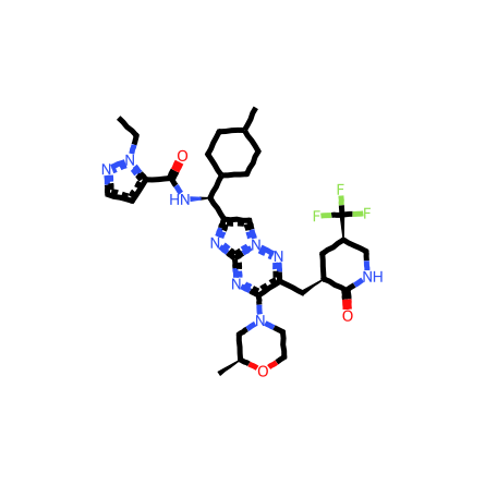 CCn1nccc1C(=O)N[C@H](c1cn2nc(C[C@H]3C[C@@H](C(F)(F)F)CNC3=O)c(N3CCO[C@@H](C)C3)nc2n1)C1CCC(C)CC1